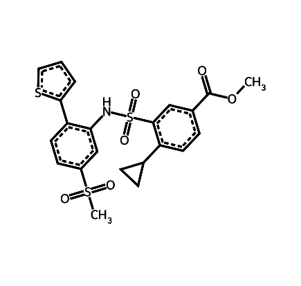 COC(=O)c1ccc(C2CC2)c(S(=O)(=O)Nc2cc(S(C)(=O)=O)ccc2-c2cccs2)c1